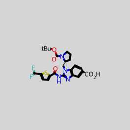 CC(C)(C)OC(=O)N1CCC[C@@H]1Cn1c(NC(=O)c2ccc(C(F)F)s2)nc2cc(C(=O)O)ccc21